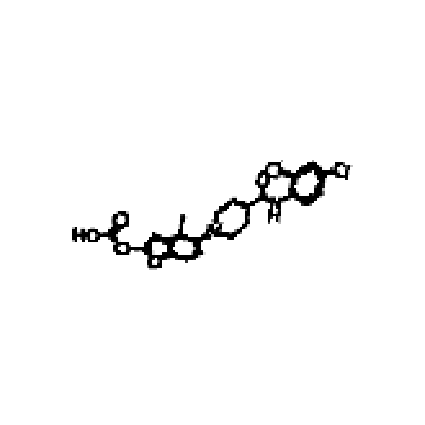 Cc1c(N2CCC(C(=O)Nc3ccc(Cl)cc3Cl)CC2)ccc2oc(OC(=O)O)cc12